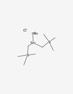 CCC[CH2][Sn+]([CH2][Si](C)(C)C)[CH2][Si](C)(C)C.[Cl-]